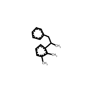 C[C](Cc1ccccc1)c1cccc(C)c1C